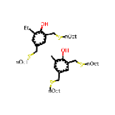 CCCCCCCCSCc1cc(C)c(O)c(CSCCCCCCCC)c1.CCCCCCCCSCc1cc(CC)c(O)c(CSCCCCCCCC)c1